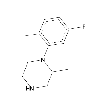 Cc1ccc(F)cc1N1CCNCC1C